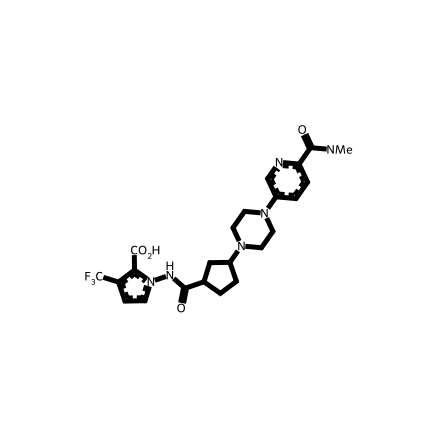 CNC(=O)c1ccc(N2CCN(C3CCC(C(=O)Nn4ccc(C(F)(F)F)c4C(=O)O)C3)CC2)cn1